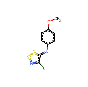 FC(F)(F)Oc1ccc(/N=c2\ssnc2Cl)cc1